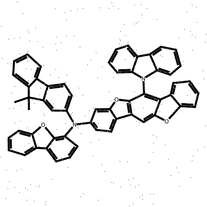 CC1(C)c2ccccc2-c2ccc(N(c3ccc4c(c3)oc3c(-n5c6ccccc6c6ccccc65)c5c(cc34)oc3ccccc35)c3cccc4c3oc3ccccc34)cc21